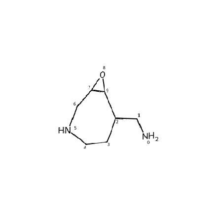 NCC1CCNCC2OC12